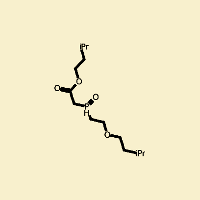 CC(C)CCOCC[PH](=O)CC(=O)OCCC(C)C